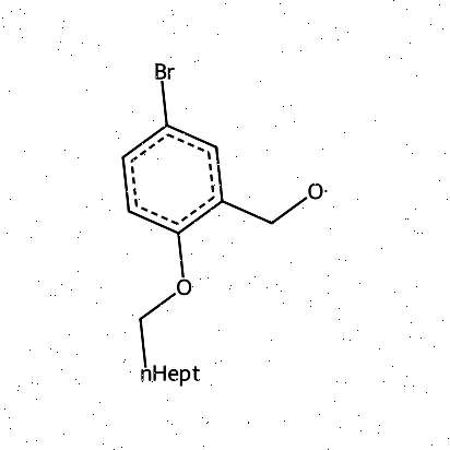 CCCCCCCCOc1ccc(Br)cc1C[O]